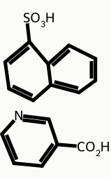 O=C(O)c1cccnc1.O=S(=O)(O)c1cccc2ccccc12